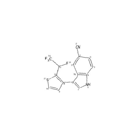 N#Cc1ccc2[nH]cc(-c3ccsc3C(F)C(F)(F)F)c2c1